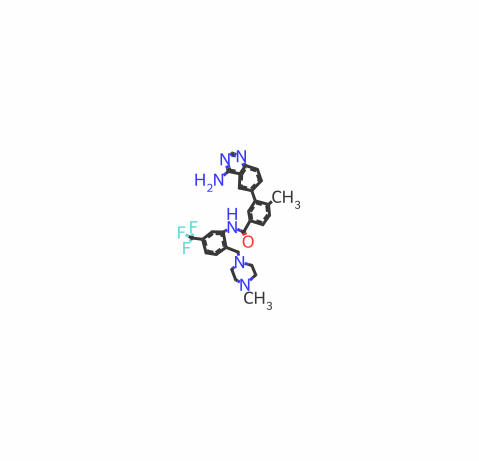 Cc1ccc(C(=O)Nc2cc(C(F)(F)F)ccc2CN2CCN(C)CC2)cc1-c1ccc2ncnc(N)c2c1